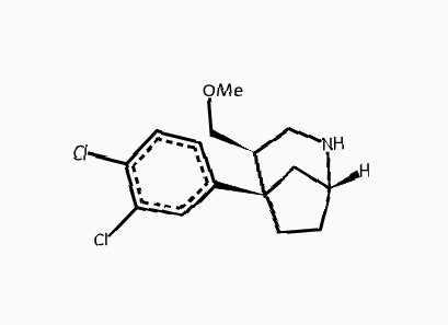 COC[C@H]1CN[C@@H]2CC[C@@]1(c1ccc(Cl)c(Cl)c1)C2